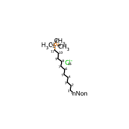 CCCCCCCCCCCCCCCCCCCC[P+](C)(C)C.[Cl-]